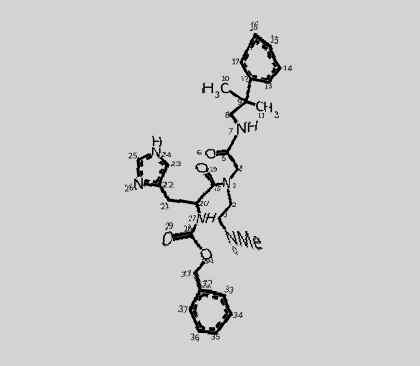 CNCCN(CC(=O)NCC(C)(C)c1ccccc1)C(=O)C(Cc1c[nH]cn1)NC(=O)OCc1ccccc1